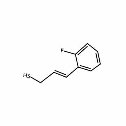 Fc1ccccc1/C=C/CS